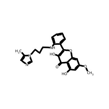 COc1cc(O)c2c(=O)c(O)c(-c3ccccc3NCCCn3cncc3C)oc2c1